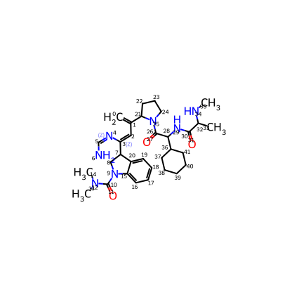 C=C(/C=C(\N=C/N)C1CN(C(=O)N(C)C)c2ccccc21)C1CCCN1C(=O)C(NC(=O)C(C)NC)C1CCCCC1